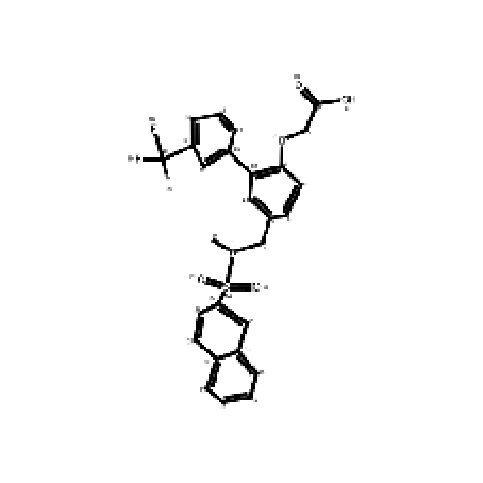 CN(Cc1ccc(OCC(=O)O)c(-c2cccc(C(F)(F)F)c2)c1)S(=O)(=O)c1ccc2ccccc2c1